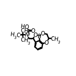 CC1COB2OC(CN(C(=O)O)C(C)(C)C)c3cccc(c32)O1